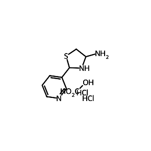 Cl.Cl.NC1CSC(c2cccnc2)N1.O=C(O)O